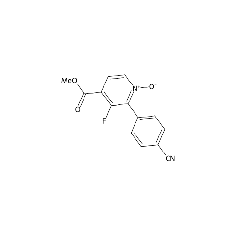 COC(=O)c1cc[n+]([O-])c(-c2ccc(C#N)cc2)c1F